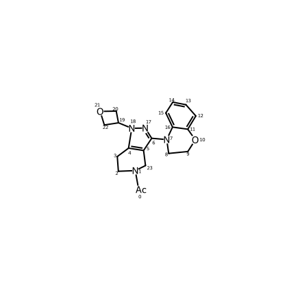 CC(=O)N1CCc2c(c(N3CCOc4ccccc43)nn2C2COC2)C1